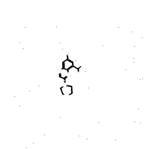 CC(O)c1cc(Br)cc2ncc(N3CCOCC3)nc12